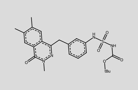 Cc1cc2c(Cc3cccc(NS(=O)(=O)NC(=O)OC(C)(C)C)c3)nn(C)c(=O)c2cc1C